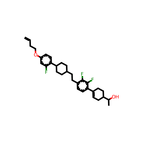 C=CCCOc1ccc(C2CCC(CCc3ccc(C4=CCC(C(C)O)CC4)c(F)c3F)CC2)c(F)c1